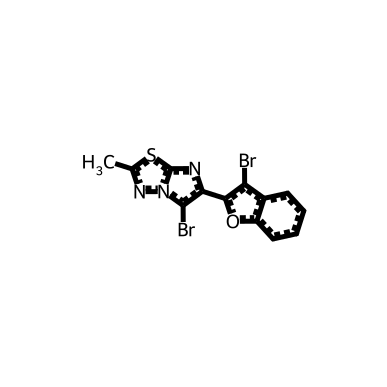 Cc1nn2c(Br)c(-c3oc4ccccc4c3Br)nc2s1